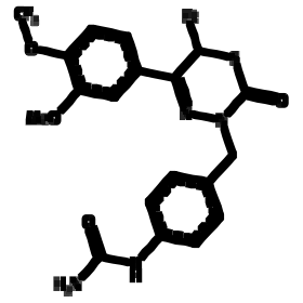 CCC1SC(=O)N(Cc2ccc(NC(N)=O)cc2)N=C1c1ccc(OC(F)(F)F)c(OC)c1